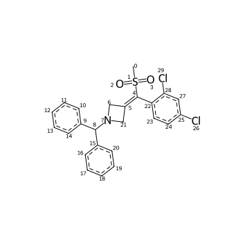 CS(=O)(=O)C(=C1CN(C(c2ccccc2)c2ccccc2)C1)c1ccc(Cl)cc1Cl